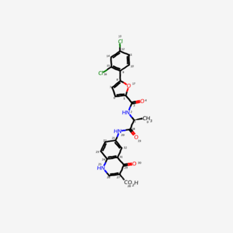 C[C@H](NC(=O)c1ccc(-c2ccc(Cl)cc2Cl)o1)C(=O)Nc1ccc2[nH]cc(C(=O)O)c(=O)c2c1